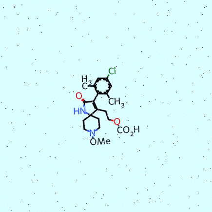 CON1CCC2(CC1)NC(=O)C(c1c(C)cc(Cl)cc1C)=C2CCOC(=O)O